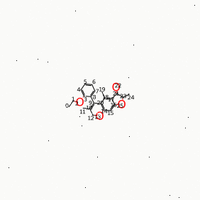 CCOc1ccccc1C1=C(C)COc2cc3c(c(C)c21)C(=O)C(C)O3